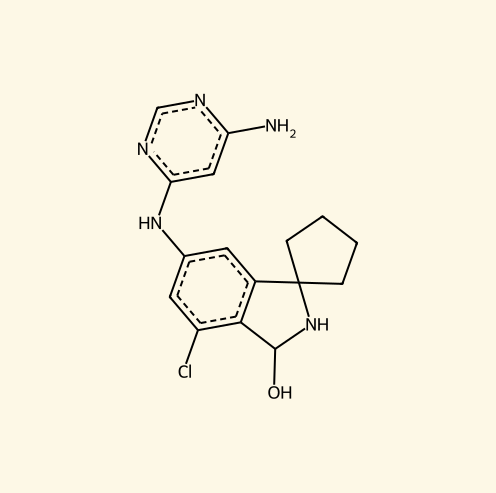 Nc1cc(Nc2cc(Cl)c3c(c2)C2(CCCC2)NC3O)ncn1